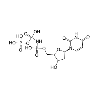 O=c1ccn([C@H]2CC(O)[C@@H](COP(=O)(O)NP(=O)(O)OP(=O)(O)O)O2)c(=O)[nH]1